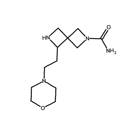 NC(=O)N1CC2(CNC2CCN2CCOCC2)C1